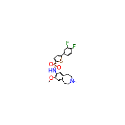 COc1cc2c(cc1NS(=O)(=O)c1ccc(-c3ccc(F)c(F)c3)s1)CCN(C)CC2